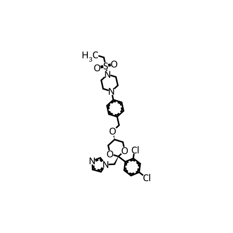 CCS(=O)(=O)N1CCN(c2ccc(CO[C@H]3CO[C@@](Cn4ccnc4)(c4ccc(Cl)cc4Cl)OC3)cc2)CC1